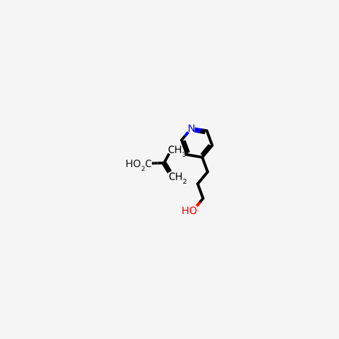 C=C(C)C(=O)O.OCCCc1ccncc1